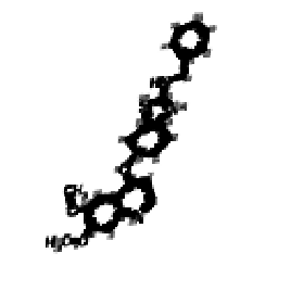 COc1cc2nccc(Oc3ccc4nc(NCc5ccccc5)sc4c3)c2cc1OC